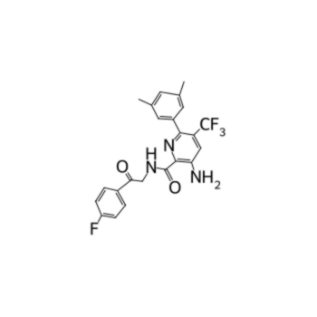 Cc1cc(C)cc(-c2nc(C(=O)NCC(=O)c3ccc(F)cc3)c(N)cc2C(F)(F)F)c1